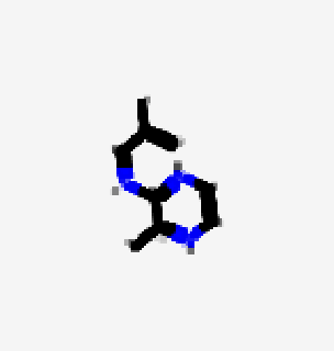 C=C(C)/C=N\c1nccnc1C